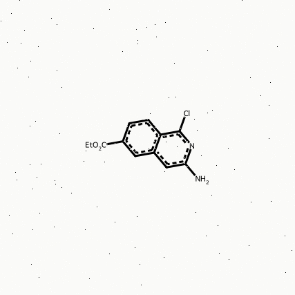 CCOC(=O)c1ccc2c(Cl)nc(N)cc2c1